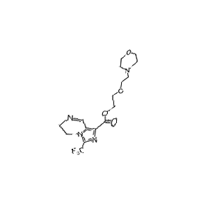 O=C(OCCOCCN1CCOCC1)c1nc(C(F)(F)F)n2c1C=NCC2